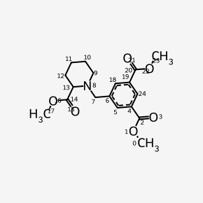 COC(=O)c1cc(CN2CCCCC2C(=O)OC)cc(C(=O)OC)c1